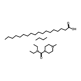 CCCC.CCCCCCCCCCCCCCCCCC(=O)O.CCN(CC)C(=O)N1CCN(C)CC1